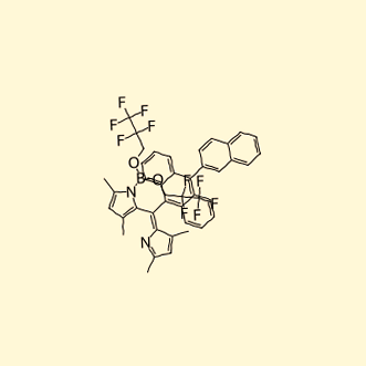 CC1=CC(C)=N/C1=C(/c1c2ccccc2c(-c2ccc3ccccc3c2)c2ccccc12)c1c(C)cc(C)n1B(OCC(F)(F)C(F)(F)F)OCC(F)(F)C(F)(F)F